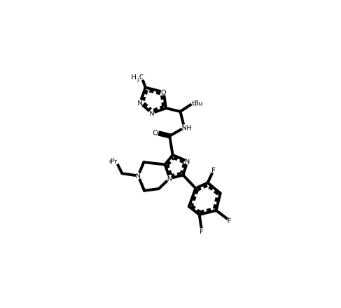 Cc1nnc(C(NC(=O)c2nc(-c3cc(F)c(F)cc3F)n3c2CN(CC(C)C)CC3)C(C)(C)C)o1